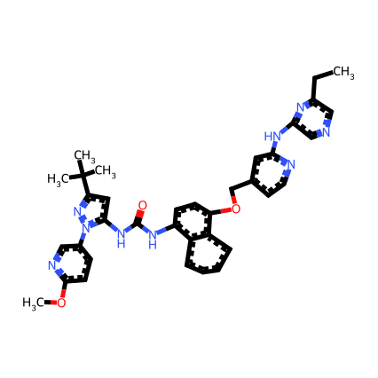 CCc1cncc(Nc2cc(COc3ccc(NC(=O)Nc4cc(C(C)(C)C)nn4-c4ccc(OC)nc4)c4ccccc34)ccn2)n1